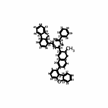 CC1Cc2ccc(-c3cccc4oc5ccccc5c34)cc2C=C1c1nc(-c2ccccc2)nc(-c2cccc3c2sc2ccccc23)n1